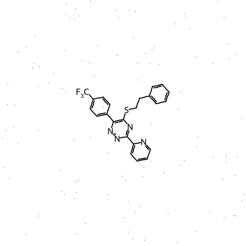 FC(F)(F)c1ccc(-c2nnc(-c3ccccn3)nc2SCCc2ccccc2)cc1